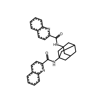 O=C(NC12CC3CC(C1)CC(NC(=O)c1ccc4ccccc4n1)(C3)C2)c1ccc2ccccc2n1